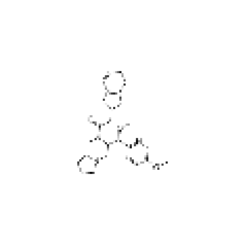 COc1ccc([C@H](OC)C(CN2CCCC2)N(C)C(=O)CC2CC3=C(CCC=C3)C2)nc1